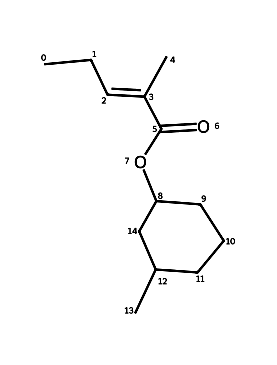 CCC=C(C)C(=O)OC1CCCC(C)C1